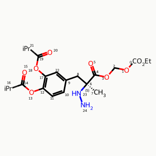 CCOC(=O)OCOC(=O)[C@](C)(Cc1ccc(OC(=O)C(C)C)c(OC(=O)C(C)C)c1)NN